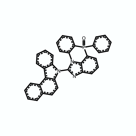 O=P1(c2ccccc2)c2ccccc2-n2c(-n3c4ccccc4c4c5ccccc5ccc43)nc3cccc1c32